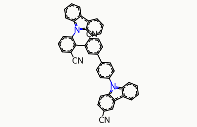 N#Cc1ccc2c(c1)c1ccccc1n2-c1ccc(-c2ccc(C#N)c(-c3c(C#N)cccc3-n3c4ccccc4c4ccccc43)c2)cc1